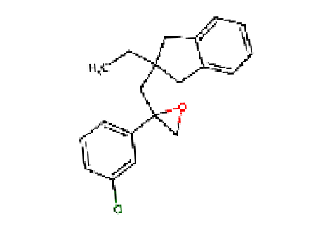 CCC1(CC2(c3cccc(Cl)c3)CO2)Cc2ccccc2C1